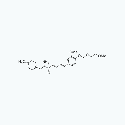 COCCOCOc1ccc(C=CC=CC(=O)C(N)CN2CCN(C)CC2)cc1OC